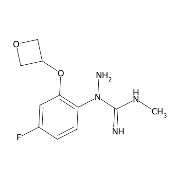 CNC(=N)N(N)c1ccc(F)cc1OC1COC1